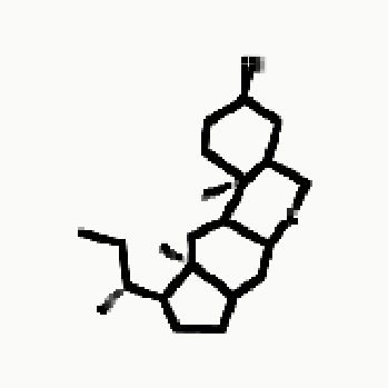 CC[C@@H](C)C1CCC2CC3CCC4C[C@H](O)CC[C@]4(C)C3C[C@@]21C